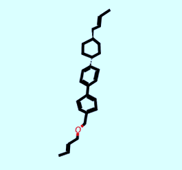 CC=CCOCc1ccc(-c2ccc([C@H]3CC[C@H](CC=CC)CC3)cc2)cc1